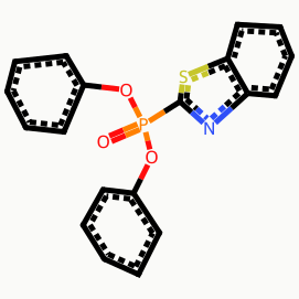 O=P(Oc1ccccc1)(Oc1ccccc1)c1nc2ccccc2s1